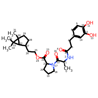 C[C@H](NC(=O)CCc1ccc(O)c(O)c1)C(=O)N1CCCC1C(=O)OCCC1CCC2(C)C1C2(C)C